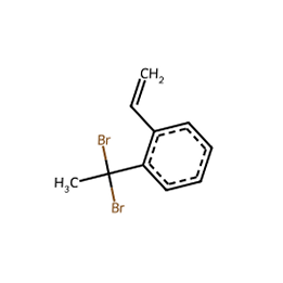 C=Cc1ccccc1C(C)(Br)Br